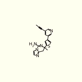 CC#Cc1cncc(-c2csc([C@]3(C)Cc4nccn4C(N)=N3)c2)c1